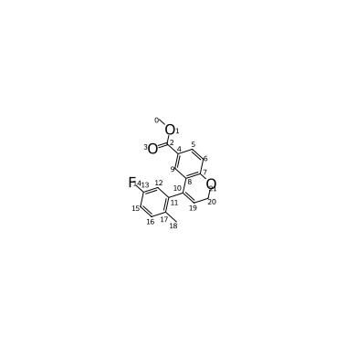 COC(=O)c1ccc2c(c1)C(c1cc(F)ccc1C)=CCO2